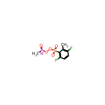 Cc1c(F)ccc(F)c1S(=O)(=O)OO[PH](C)=O